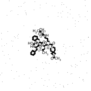 CC(=O)N1CC2(CCN(C(=O)[C@@H](CCCCNC(=O)OC(C)(C)C)NC(=O)[C@@H](CC(C)C)NC(=O)[C@@H](Cc3ccccc3)NC(=O)[C@@H](Cc3ccccc3)NC(=O)O)CC2)C1